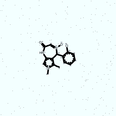 Cc1c2c(cn1C)NC(=O)C=[N+]([O-])C2c1ccccc1Cl